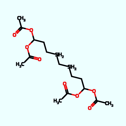 CC(=O)OC(CC[SiH2]C[SiH2]CCC(OC(C)=O)OC(C)=O)OC(C)=O